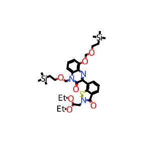 CCOC(Cn1sc2c(-c3nc4c(OCOCC[Si](C)(C)C)cccc4n(COCC[Si](C)(C)C)c3=O)cccc2c1=O)OCC